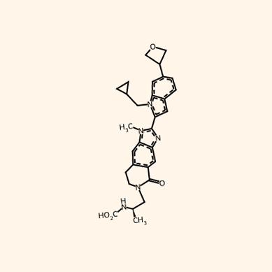 C[C@H](CN1CCc2cc3c(cc2C1=O)nc(-c1cc2ccc(C4COC4)cc2n1CC1CC1)n3C)NC(=O)O